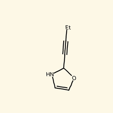 CCC#CC1NC=CO1